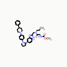 CCCN(Cc1nc2cc([C@H]3CCCN3c3ccc(N4CCC(c5ccccc5)CC4)cc3)ccc2[nH]1)C(=O)CNC(=O)OC